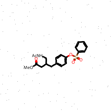 COC(=O)CC(CNC(C)=O)Cc1ccc(OS(=O)(=O)c2ccccc2)cc1